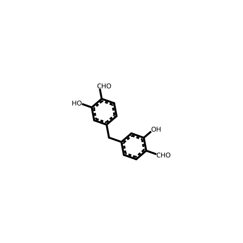 O=Cc1ccc(Cc2ccc(C=O)c(O)c2)cc1O